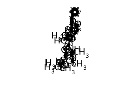 CC(C)OC(=O)[C@@H](C)NP(=O)(OCCSC(=O)C(C)(C)C)OC[C@H]1O[C@@H](n2ccc(=O)n(COCc3ccccc3)c2=O)[C@](C)(Cl)[C@@H]1O